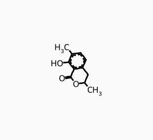 Cc1ccc2c(c1O)C(=O)OC(C)C2